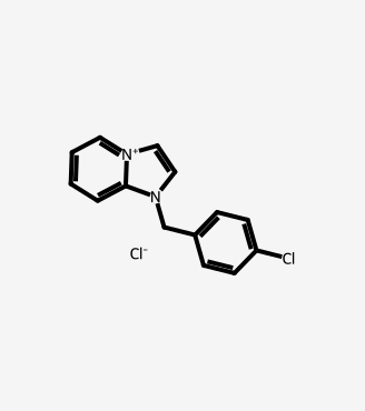 Clc1ccc(Cn2cc[n+]3ccccc23)cc1.[Cl-]